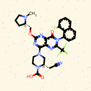 CN1CCC[C@H]1COc1nc(N2CCN(C(=O)O)[C@@H](CC#N)C2)c2nc(C(F)(F)F)n(-c3cccc4cccc(F)c34)c(=O)c2n1